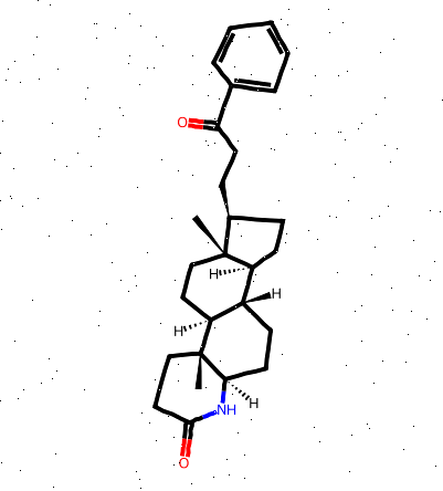 C[C@]12CCC(=O)N[C@@H]1CC[C@@H]1[C@@H]2CC[C@]2(C)[C@@H](CCC(=O)c3ccccc3)CC[C@@H]12